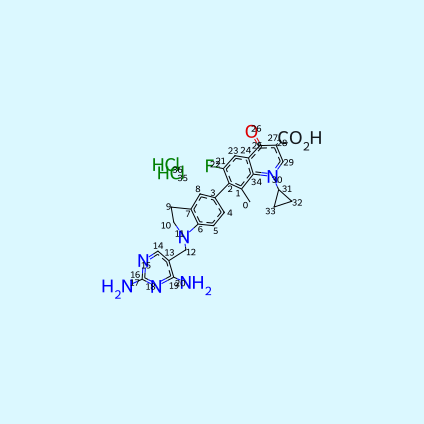 Cc1c(-c2ccc3c(c2)CCN3Cc2cnc(N)nc2N)c(F)cc2c(=O)c(C(=O)O)cn(C3CC3)c12.Cl.Cl